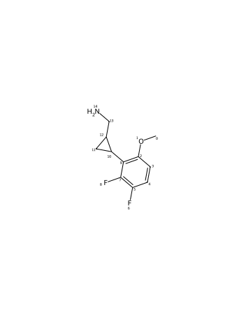 COc1ccc(F)c(F)c1C1CC1CN